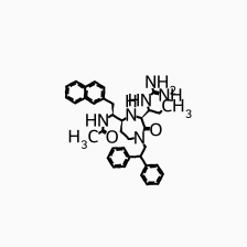 CCC(NC(=N)N)[C@@H]1N[C@H]([C@H](Cc2ccc3ccccc3c2)NC(C)=O)CCN(CC(c2ccccc2)c2ccccc2)C1=O